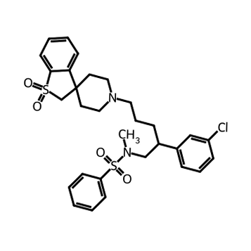 CN(CC(CCCN1CCC2(CC1)CS(=O)(=O)c1ccccc12)c1cccc(Cl)c1)S(=O)(=O)c1ccccc1